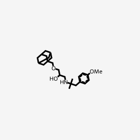 COc1ccc(CC(C)(C)NCC(O)COCC23CC4CC(CC(C4)C2)C3)cc1